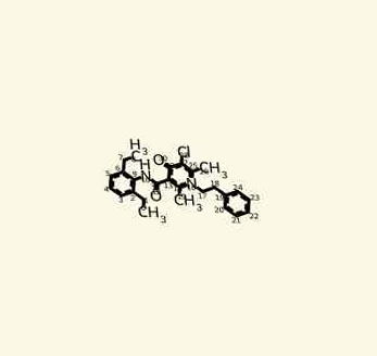 CCc1cccc(CC)c1NC(=O)c1c(C)n(CCc2ccccc2)c(C)c(Cl)c1=O